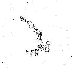 O=C(NCC(F)(F)F)OC1(CCCCN2CCN(c3ccc4cc(Br)ccc4n3)CC2)c2ccccc2-c2ccccc21